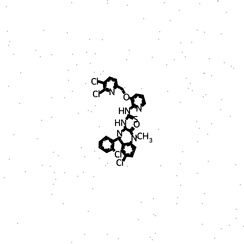 CN1C(=O)C(NC(=S)Nc2ncccc2OCc2ccc(Cl)c(Cl)n2)N=C(c2ccccc2Cl)c2cc(Cl)ccc21